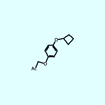 CC(=O)COc1ccc(OC2CCC2)cc1